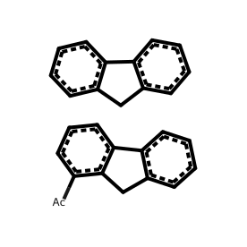 CC(=O)c1cccc2c1Cc1ccccc1-2.c1ccc2c(c1)Cc1ccccc1-2